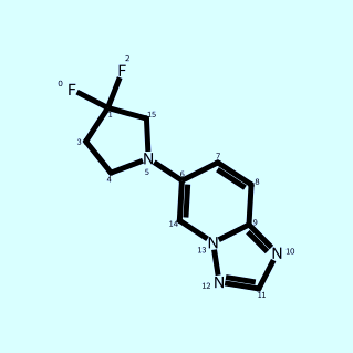 FC1(F)CCN(c2ccc3ncnn3c2)C1